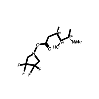 CN[C@@H](C)[C@H](O)[C@H](C)CC(=O)ON1CC(F)(F)C(F)(F)C1